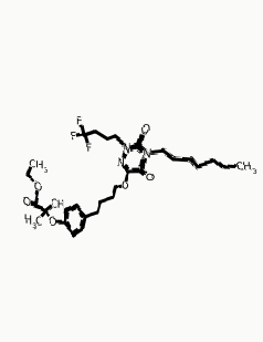 CCCCCCCn1c(=O)c(OCCCCc2ccc(OC(C)(C)C(=O)OCC)cc2)nn(CCCC(F)(F)F)c1=O